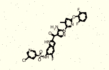 Cc1cc(Oc2c(F)cccc2F)ncc1-n1ncc(C(=O)c2cc3cc(F)c(NS(=O)(=O)c4cncc(Cl)c4)cc3[nH]2)c1N